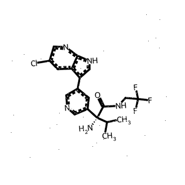 CC(C)[C@](N)(C(=O)NCC(F)(F)F)c1cncc(-c2c[nH]c3ncc(Cl)cc23)c1